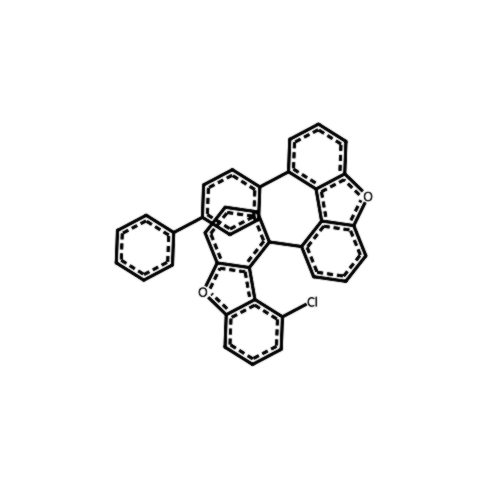 Clc1cccc2oc3cccc(-c4cccc5oc6cccc(-c7ccc(-c8ccccc8)cc7)c6c45)c3c12